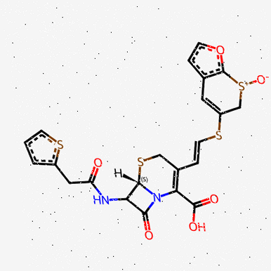 O=C(Cc1cccs1)NC1C(=O)N2C(C(=O)O)=C(C=CSC3=Cc4ccoc4[S+]([O-])C3)CS[C@@H]12